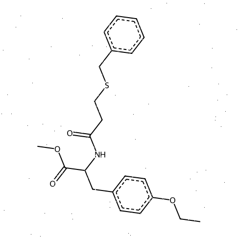 CCOc1ccc(CC(NC(=O)CCSCc2ccccc2)C(=O)OC)cc1